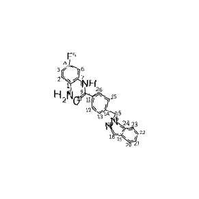 Nc1ccc(F)cc1NC(=O)c1ccc(Cn2ncc3ccccc32)cc1